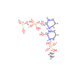 O=S(=O)(O)O.O=S(=O)(O)O.O=S([O-])[O-].Oc1ncccn1.Oc1ncccn1.[Na+].[Na+]